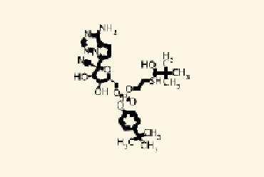 CC(C)(C)C(O)=[SH]CCOP(=O)(OC[C@H]1O[C@@](C#N)(c2ccc3c(N)ncnn23)[C@H](O)[C@@H]1O)Oc1ccc(C(C)(C)C)cc1